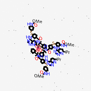 COC(=O)Nc1ccc(Sc2ccc(C(=O)NC(C)(COP(=O)(OCC(C)(NC(=O)c3ccc(Sc4ccc(NC(=O)OC)cc4)c(Nc4ncnc5nc(C(C)C)ccc45)c3)c3ccccc3)OCC(C)(NC(=O)c3ccc(Sc4ccc(NC(=O)OC)cc4)c(Nc4ncnc5nc(C(C)C)ccc45)c3)c3ccccc3)c3ccccc3)cc2Nc2ncnc3nc(C(C)C)ccc23)cc1